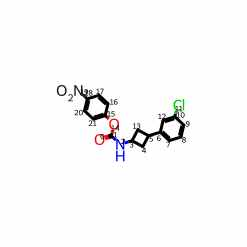 O=C(NC1CC(c2cccc(Cl)c2)C1)Oc1ccc([N+](=O)[O-])cc1